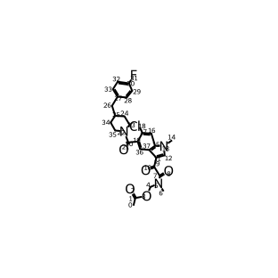 CC(=O)OCN(C)C(=O)C(=O)c1cn(C)c2cc(Cl)c(C(=O)N3CCC(Cc4ccc(F)cc4)CC3)cc12